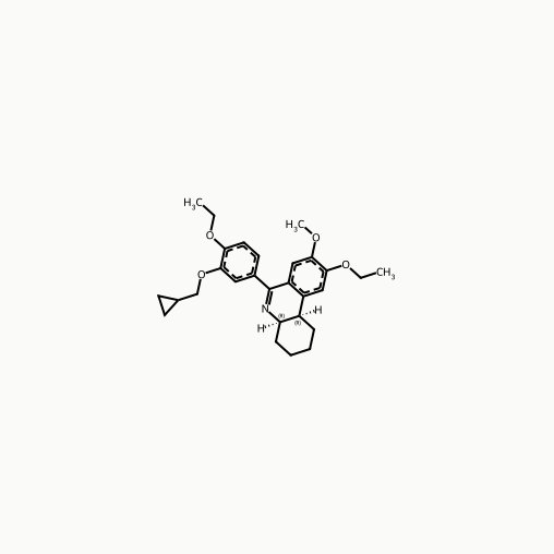 CCOc1cc2c(cc1OC)C(c1ccc(OCC)c(OCC3CC3)c1)=N[C@@H]1CCCC[C@H]21